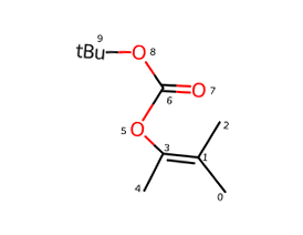 CC(C)=C(C)OC(=O)OC(C)(C)C